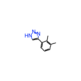 Cc1cccc(-c2c[nH]nn2)c1C